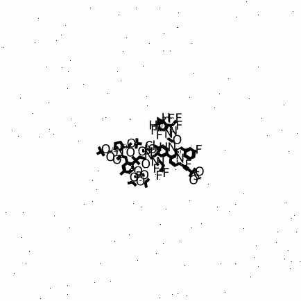 Cc1cc(CC(=O)N2[C@H](C(=O)OC(C)(C)C)CC[C@H]2C(=O)OC(C)(C)C)c(C(C)(C)CC(=O)N(c2nn(CC(F)(F)F)c3c(-c4ccc(C#CC(C)(C)S(C)(=O)=O)nc4[C@H](Cc4cc(F)cc(F)c4)NC(=O)Cn4nc(C(F)(F)F)c5c4C(F)(F)[C@@H]4C[C@H]54)ccc(Cl)c23)S(C)(=O)=O)c(OP(=O)(OC(C)C)OC(C)C)c1